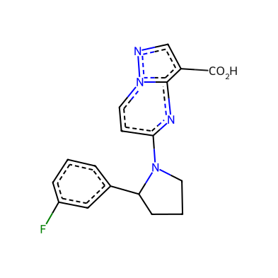 O=C(O)c1cnn2ccc(N3CCCC3c3cccc(F)c3)nc12